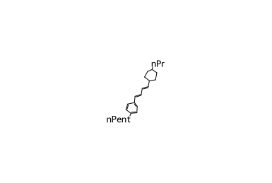 CCCCCc1ccc(C=CC=CC2CCC(CCC)CC2)cc1